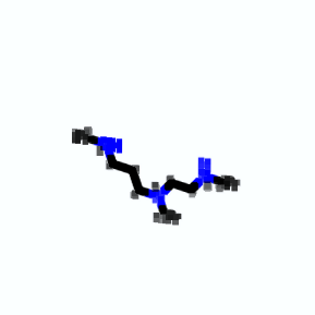 CC(C)NCCCN(CCNC(C)C)C(C)C